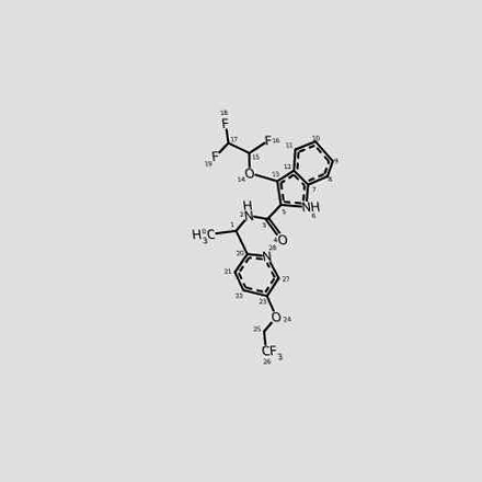 CC(NC(=O)c1[nH]c2ccccc2c1OC(F)C(F)F)c1ccc(OCC(F)(F)F)cn1